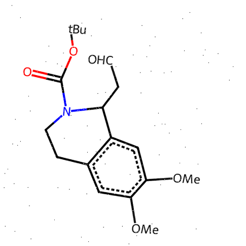 COc1cc2c(cc1OC)C(CC=O)N(C(=O)OC(C)(C)C)CC2